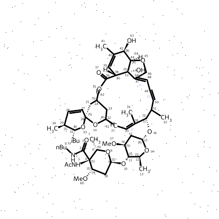 CCCCNC(=O)[C@]1(NC(C)=O)[C@H](C)O[C@@H](O[C@H]2[C@H](C)O[C@@H](O[C@@H]3/C(C)=C/C[C@@H]4C[C@@H](C[C@]5(C=C[C@H](C)[C@@H](C(C)CC)O5)O4)OC(=O)[C@@H]4C=C(C)[C@@H](O)[C@H]5OC/C(=C\C=C\C3C)[C@]54O)C[C@@H]2OC)C[C@@H]1OC